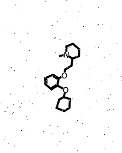 CN1CCCCC1CCOc1ccccc1OC1CCCCC1